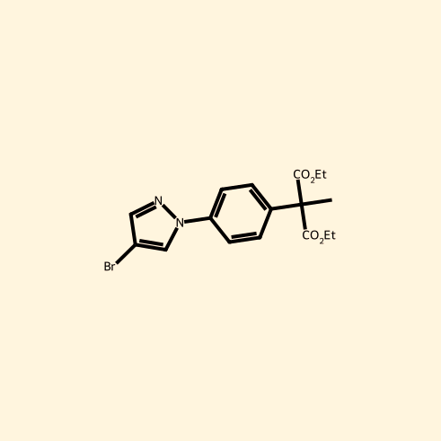 CCOC(=O)C(C)(C(=O)OCC)c1ccc(-n2cc(Br)cn2)cc1